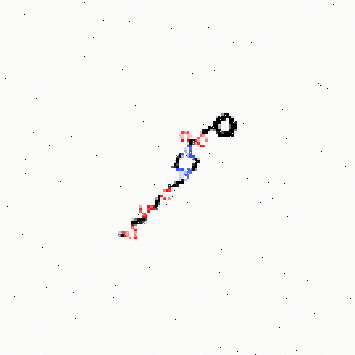 COCCOCCOCCN1CCN(C(=O)OCc2ccccc2)CC1